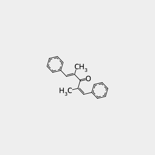 CC(=Cc1ccccc1)C(=O)C(C)=Cc1ccccc1